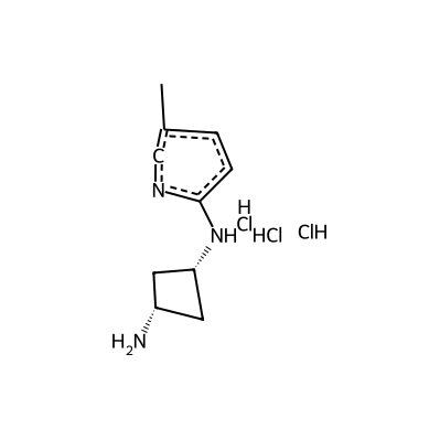 Cc1ccc(N[C@H]2C[C@@H](N)C2)nc1.Cl.Cl.Cl